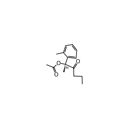 CCCC(=O)[C@](C)(OC(C)=O)c1ccccc1C